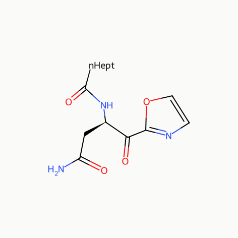 CCCCCCCC(=O)N[C@H](CC(N)=O)C(=O)c1ncco1